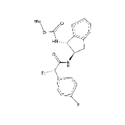 CC[C@H](C(=O)N[C@@H]1Cc2ccccc2[C@H]1NC(=O)OC(C)(C)C)c1ccc(F)cc1